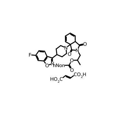 CCCCCCCCCC(=O)OC(C)CN1C(=O)C2C=CC=CC2(N2CCC(c3noc4cc(F)ccc34)CC2)C1=O.O=C(O)C=CC(=O)O